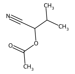 CC(=O)OC(C#N)C(C)C